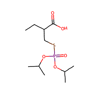 CCC(CSP(=O)(OC(C)C)OC(C)C)C(=O)O